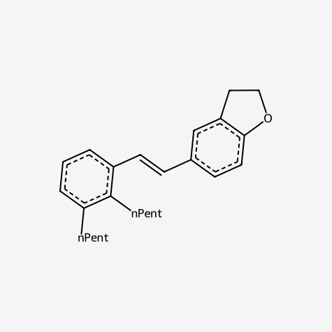 CCCCCc1cccc(C=Cc2ccc3c(c2)CCO3)c1CCCCC